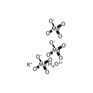 [K+].[OH4+2].[O]=[Mn](=[O])(=[O])[O-].[O]=[Mn](=[O])(=[O])[O-].[O]=[Mn](=[O])(=[O])[O-]